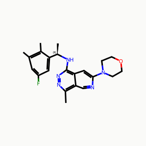 Cc1cc(F)cc([C@@H](C)Nc2nnc(C)c3cnc(N4CCOCC4)cc23)c1C